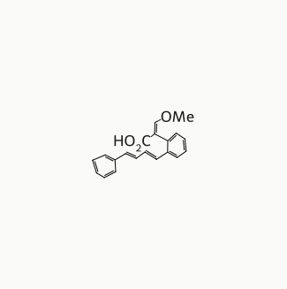 CO/C=C(/C(=O)O)c1ccccc1/C=C/C=C/c1ccccc1